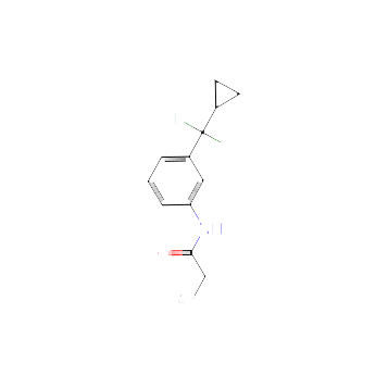 CC(=O)CC(=O)Nc1cccc(C(F)(F)C2CC2)c1